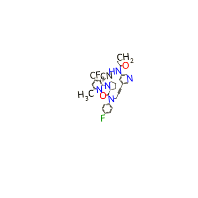 C=CC(=O)Nc1cncc(C#CCN(C(=O)[C@@H]2CCCN2c2nc(C)cc(C(F)(F)F)c2C#N)c2ccc(F)cc2)c1